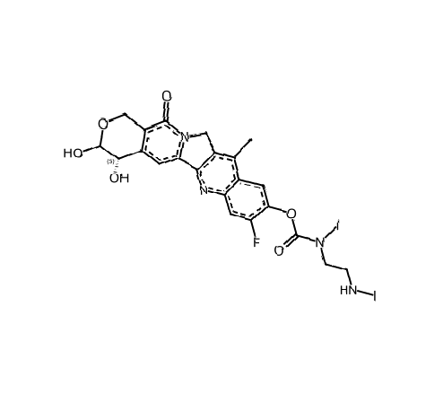 Cc1c2c(nc3cc(F)c(OC(=O)N(I)CCNI)cc13)-c1cc3c(c(=O)n1C2)COC(O)[C@H]3O